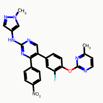 Cc1ccnc(Oc2ccc(-c3cnc(Nc4cnn(C)c4)nc3-c3ccc([N+](=O)[O-])cc3)cc2F)n1